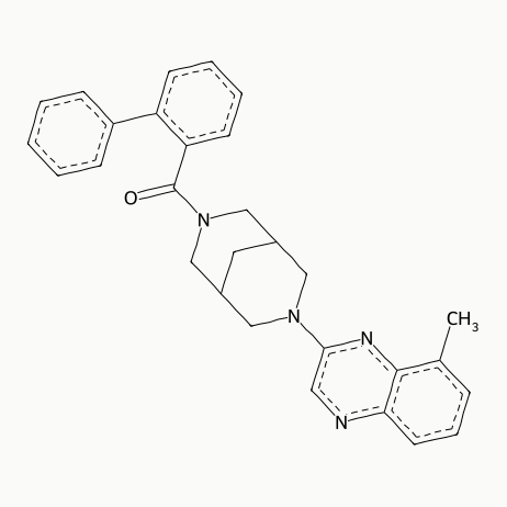 Cc1cccc2ncc(N3CC4CC(CN(C(=O)c5ccccc5-c5ccccc5)C4)C3)nc12